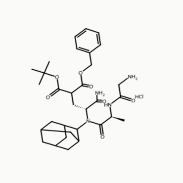 C[C@H](NC(=O)CN)C(=O)N(C1C2CC3CC(C2)CC1C3)[C@H](CC(C(=O)OCc1ccccc1)C(=O)OC(C)(C)C)C(N)=O.Cl